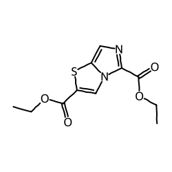 CCOC(=O)c1cn2c(C(=O)OCC)ncc2s1